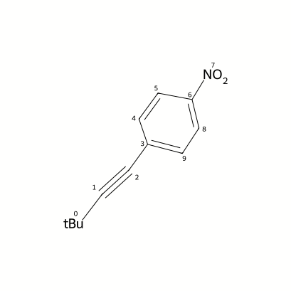 CC(C)(C)C#Cc1ccc([N+](=O)[O-])cc1